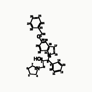 OC(CN1CCCC1)C(c1ccccc1)n1ccc2cc(OCc3ccccc3)ccc21